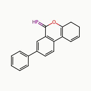 P=c1oc2c(c3ccc(-c4ccccc4)cc13)C=CCC2